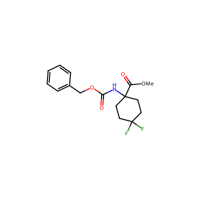 COC(=O)C1(NC(=O)OCc2ccccc2)CCC(F)(F)CC1